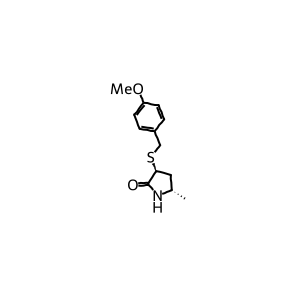 COc1ccc(CS[C@H]2C[C@H](C)NC2=O)cc1